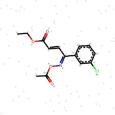 CCOC(=O)C=CC(=NOC(C)=O)c1cccc(Cl)c1